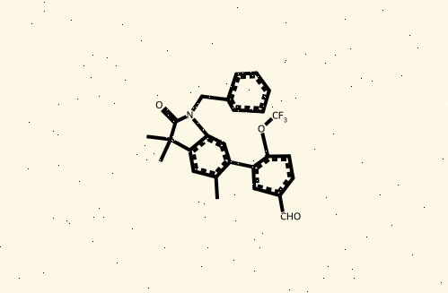 Cc1cc2c(cc1-c1cc(C=O)ccc1OC(F)(F)F)N(Cc1ccccc1)C(=O)C2(C)C